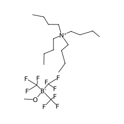 CCCC[N+](CCCC)(CCCC)CCCC.CO[B-](C(F)(F)F)(C(F)(F)F)C(F)(F)F